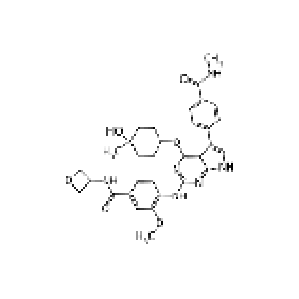 CNC(=O)c1ccc(-c2c[nH]c3nc(Nc4ccc(C(=O)NC5COC5)cc4OC)nc(OC4CCC(C)(O)CC4)c23)cc1